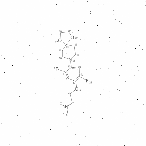 CN(C)CCOc1cc(F)c(N2CCC3(CC2)OCCO3)cc1F